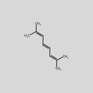 CC(C)=CC=CC=C(C)C